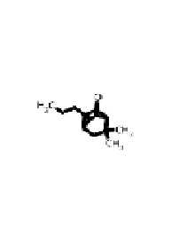 CCCC1C(=O)C2CCC1CC2(C)C